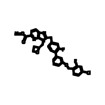 COC(=O)c1ccc2nc(Cc3ccc(-c4cccc(OCc5ccc(Cl)cc5F)c4)c(F)c3)n(C[C@@H]3CCO3)c2n1